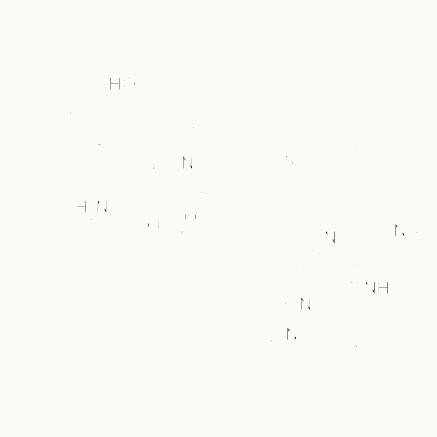 Cc1cccc(C(CO)C(C(N)=O)N2CCc3sc(-c4nc(Nc5ccnn5C)ncc4C)cc3C2=O)c1